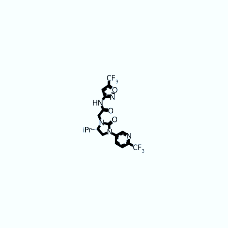 CC(C)[C@H]1CN(c2ccc(C(F)(F)F)nc2)C(=O)N1CC(=O)Nc1cc(C(F)(F)F)on1